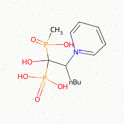 CCCCC([n+]1ccccc1)C(O)(P(C)(=O)O)P(=O)(O)O